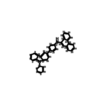 C1=CCC(n2c3ccccc3c3cc(-c4ccc(Nc5cc6ccccc6c6ccccc56)cc4)ccc32)C=C1